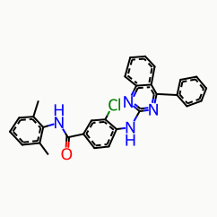 Cc1cccc(C)c1NC(=O)c1ccc(Nc2nc(-c3ccccc3)c3ccccc3n2)c(Cl)c1